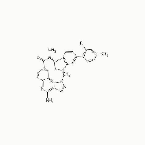 CN(C(=O)c1ccc2nc(N)c3cnn(C)c3c2c1)[C@@H]1COc2cc(-c3ccc(C(F)(F)F)cc3F)ccc21